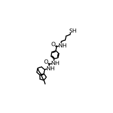 CC12CC3=C(C1)C(NC(=O)Nc1ccc(C(=O)NCCCCS)cc1)CC2C3